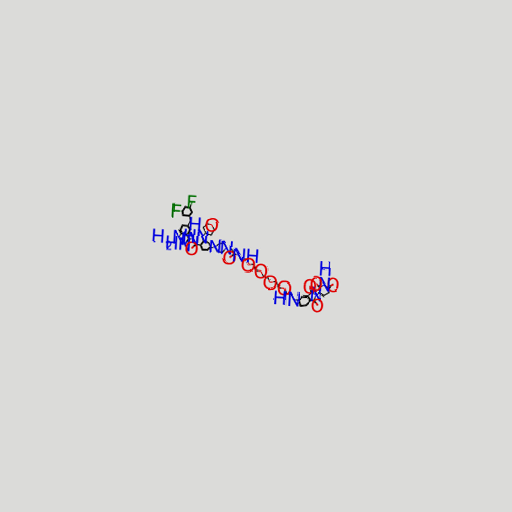 N=C(NC(=O)c1ccc(N2CCN(CC(=O)NCCOCCOCCOCCOCCNc3ccc4c(c3)C(=O)N(C3CCC(=O)NC3=O)C4=O)CC2)cc1NC1CCOCC1)c1cc(Cc2cc(F)cc(F)c2)ccc1N